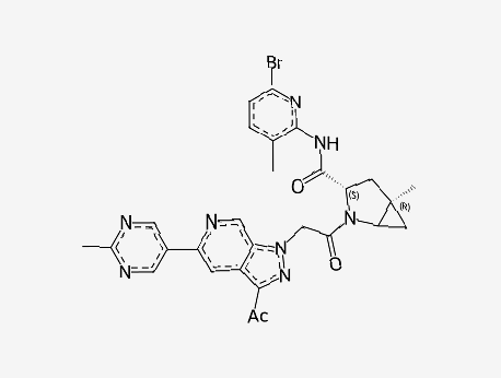 CC(=O)c1nn(CC(=O)N2C3C[C@]3(C)C[C@H]2C(=O)Nc2nc(Br)ccc2C)c2cnc(-c3cnc(C)nc3)cc12